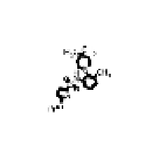 Cc1cccc(NS(=O)(=O)c2ccc(SC(C)C)s2)c1N1CCC(C)(C)CC1